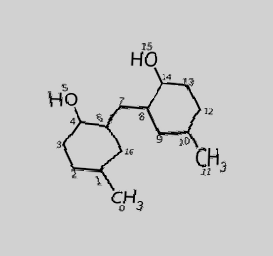 CC1CCC(O)C(CC2CC(C)CCC2O)C1